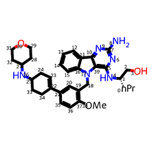 CCC[C@@H](CO)Nc1nc(N)nc2c3ccccc3n(Cc3cc(C4=CCC(NC5CCOCC5)CC4)ccc3OC)c12